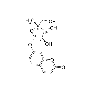 C[C@]1(CO)O[C@@H](Oc2ccc3ccc(=O)oc3c2)[C@H](O)[C@H]1O